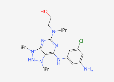 CC(C)N(CCO)c1nc(Nc2cc(N)cc(Cl)c2)c2c(n1)N(C(C)C)NN2C(C)C